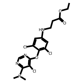 CCOC(=O)CCNc1cc(Cl)c(Oc2ncnc(N(C)C)c2Cl)c(Cl)c1